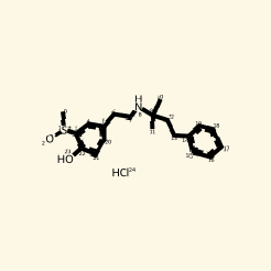 C[S+]([O-])c1cc(CCNC(C)(C)CCc2ccccc2)ccc1O.Cl